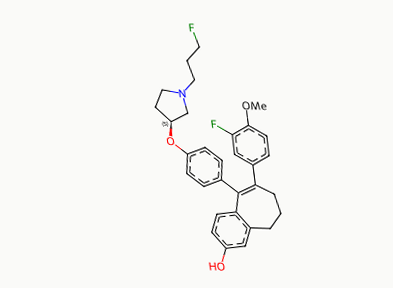 COc1ccc(C2=C(c3ccc(O[C@H]4CCN(CCCF)C4)cc3)c3ccc(O)cc3CCC2)cc1F